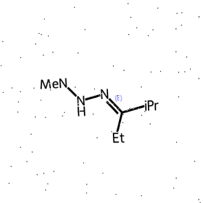 CC/C(=N\NNC)C(C)C